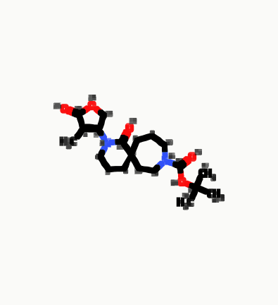 CC1=C(N2CCC[C@]3(CCCN(C(=O)OC(C)(C)C)CC3)C2=O)COC1=O